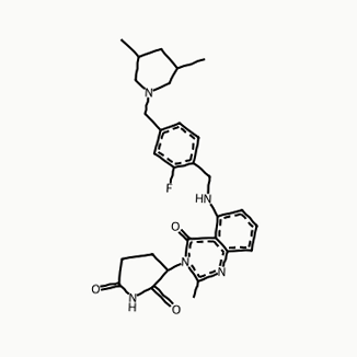 Cc1nc2cccc(NCc3ccc(CN4CC(C)CC(C)C4)cc3F)c2c(=O)n1C1CCC(=O)NC1=O